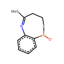 CS/C1=N/c2ccccc2[S+]([O-])CCC1